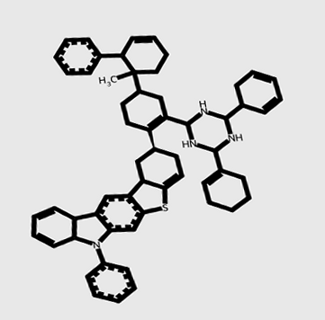 CC1(C2CCC([C@H]3CC=C4Sc5cc6c(cc5C4C3)C3C=CC=CC3N6c3ccccc3)=C(C3NC(C4=CCCCC4)NC(C4C=CC=CC4)N3)C2)CCC=CC1c1ccccc1